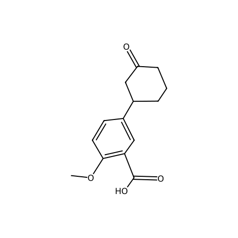 COc1ccc(C2CCCC(=O)C2)cc1C(=O)O